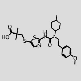 COc1ccc(CCN(C(=O)Nc2ncc(SCC(C)(C)C(=O)O)s2)C2CCC(C)CC2)cc1